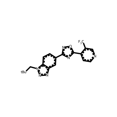 CC(C)(C)Cn1nnc2cc(-c3noc(-c4ccncc4C(F)(F)F)n3)ccc21